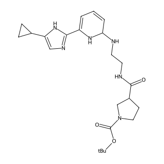 CC(C)(C)OC(=O)N1CCC(C(=O)NCCNC2C=CC=C(c3ncc(C4CC4)[nH]3)N2)C1